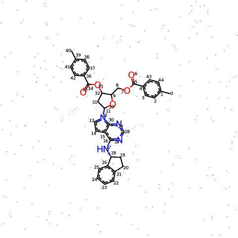 Cc1ccc(C(=O)OCC2OC(n3ccc4c(N[C@H]5CCc6ccccc65)ncnc43)CC2OC(=O)c2ccc(C)cc2)cc1